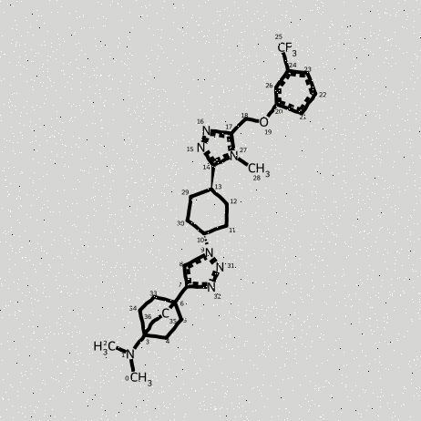 CN(C)C12CCC(c3cn([C@H]4CC[C@H](c5nnc(COc6cccc(C(F)(F)F)c6)n5C)CC4)nn3)(CC1)CC2